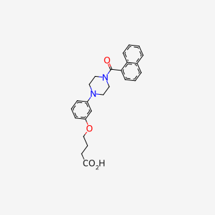 O=C(O)CCCOc1cccc(N2CCN(C(=O)c3cccc4ccccc34)CC2)c1